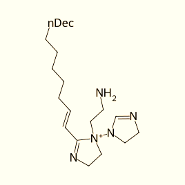 CCCCCCCCCCCCCCCC=CC1=NCC[N+]1(CCN)N1C=NCC1